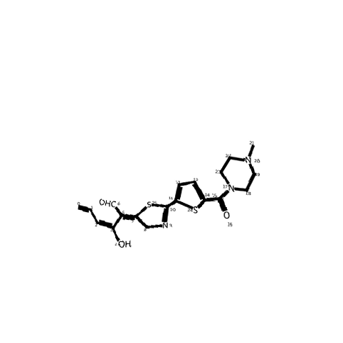 C=C/C=C(O)\C(C=O)=C1/CN=C(c2ccc(C(=O)N3CCN(C)CC3)s2)S1